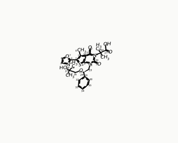 Cc1c(-c2ncco2)sc2c1c(=O)n(C(C)(C)C(=O)O)c(=O)n2C[C@H](OCC(C)(C)O)c1ccccc1